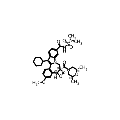 COc1ccc2c(c1)[C@@H]1OO[C@]1(C(=O)N1C[C@@H](C)O[C@@H](C)C1)Cn1c-2c(C2CCCCC2)c2ccc(C(=O)NS(=O)(=O)N(C)C)cc21